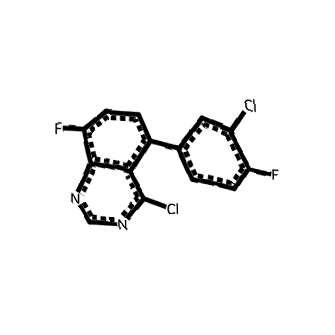 Fc1ccc(-c2ccc(F)c3ncnc(Cl)c23)cc1Cl